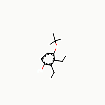 CCc1c(O)ccc(OC(C)(C)C)c1CC